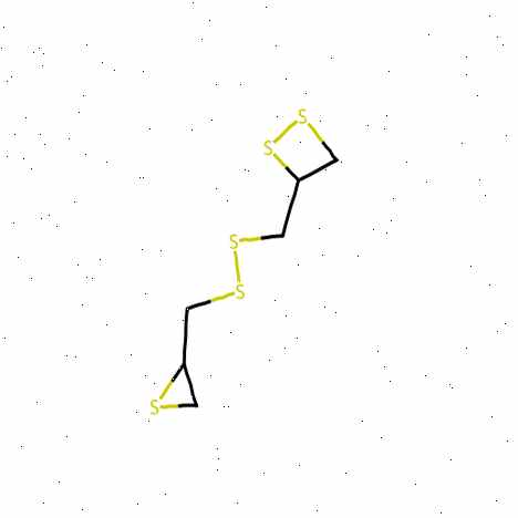 C(SSCC1CSS1)C1CS1